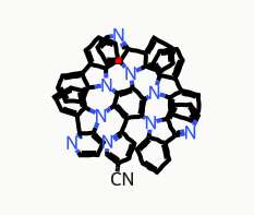 N#Cc1ccc(-c2c(-n3c4ccccc4c4ncccc43)c(-n3c4ccccc4c4ccccc43)c(-n3c4ccccc4c4ncccc43)c(-n3c4ccccc4c4ccccc43)c2-n2c3ccccc3c3ncccc32)nc1